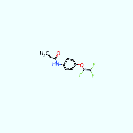 C=CC(=O)Nc1ccc(OC(F)=C(F)F)cc1